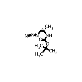 C[C@@H](CN=[N+]=[N-])NC(=O)OC(C)(C)C